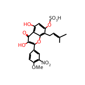 COc1ccc(-c2oc3c(CC=C(C)C)c(OS(=O)(=O)O)cc(O)c3c(=O)c2O)cc1[N+](=O)[O-]